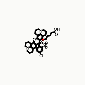 O=C(O)CCCCCN1C2(c3ccc(Cl)cc3S1(=O)=O)c1cc3c4c(c1Oc1c2cc2c5c1CCCN5CCC2)CCCN4CCC3